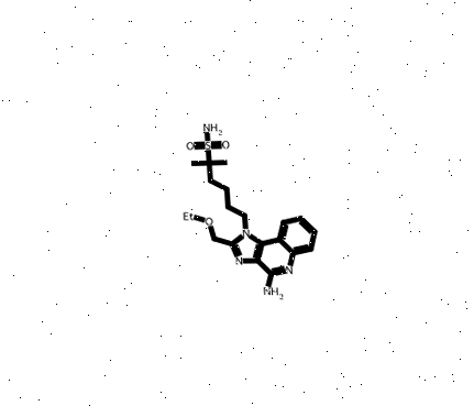 CCOCc1nc2c(N)nc3ccccc3c2n1CCCCC(C)(C)S(N)(=O)=O